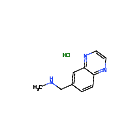 CNCc1ccc2nccnc2c1.Cl